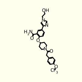 NC(=O)c1cc(-c2cn(CCO)cn2)ccc1OC1CCN(C(=O)Cc2ccc(OC(F)(F)F)cc2)CC1